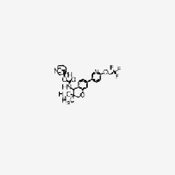 CC1(C)COc2cc(-c3ccc(OCC(F)(F)F)nc3)ccc2C1NC(=O)O[C@H]1CN2CCC1CC2